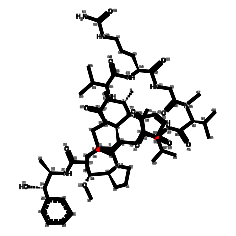 CC[C@H](C)[C@@H]([C@@H](CC(=O)N1CCC[C@H]1[C@H](OC)[C@@H](C)C(=O)N[C@H](C)[C@@H](O)c1ccccc1)OC)N(C)C(=O)C(NC(=O)[C@H](C(C)C)N(C)C(=O)CNC(=O)[C@H](CCCNC(N)=O)NC(=O)C(NC(=O)CCN(CC)CCCN1C(=O)C=CC1=O)C(C)C)C(C)C